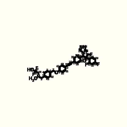 CN(Cc1ccc(COc2ccc(C#Cc3ccc(C(n4cnnn4)C(O)(c4ccc(F)cc4F)C(F)F)nc3)cc2)cc1)CC(O)(F)F